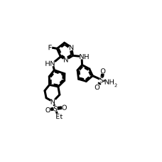 CCS(=O)(=O)N1CCc2cc(Nc3nc(Nc4cccc(S(N)(=O)=O)c4)ncc3F)ccc2C1